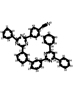 N#Cc1ccc(-c2nc(-c3ccccc3)nc(-c3cccc(-c4cccc(-c5nc(-c6ccccc6)cc(-c6ccccc6)n5)c4)c3)n2)cc1